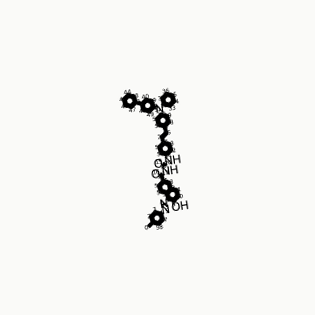 Cc1ccc(N=Nc2c(O)ccc3cc(C(=O)NC(=O)Nc4ccc(C=Cc5ccc(N(c6ccccc6)c6ccc(-c7ccccc7)cc6)cc5)cc4)ccc23)cc1